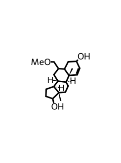 COCC1C[C@@H]2[C@H](CC[C@]3(C)C(O)CC[C@@H]23)[C@@]2(C)C=CC(O)CC12